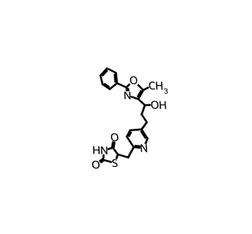 Cc1oc(-c2ccccc2)nc1C(O)CCc1ccc(CC2SC(=O)NC2=O)nc1